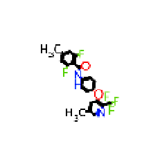 Cc1cc(F)c(C(=O)Nc2ccc(Oc3cc(C)cnc3C(F)(F)F)cc2)c(F)c1